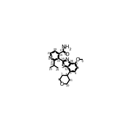 COc1ccc(C2CCOCC2)c2sc(-c3c(C(N)=O)ccnc3C(C)C)nc12